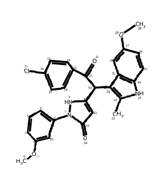 COc1cccc(-n2[nH]c(C(C(=O)c3ccc(Cl)cc3)c3c(C)[nH]c4ccc(OC)cc34)cc2=O)c1